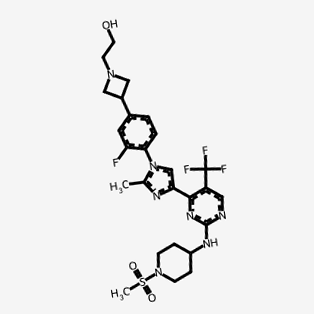 Cc1nc(-c2nc(NC3CCN(S(C)(=O)=O)CC3)ncc2C(F)(F)F)cn1-c1ccc(C2CN(CCO)C2)cc1F